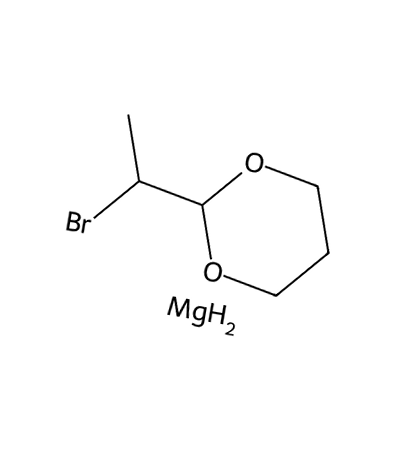 CC(Br)C1OCCCO1.[MgH2]